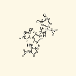 Cn1cc(-c2cc(Cn3ccn(C4CC4)c3=N)cc(C(=O)N[C@H](c3ccc(Cl)c(Cl)c3)C3CC3)c2)c(C(F)(F)F)n1